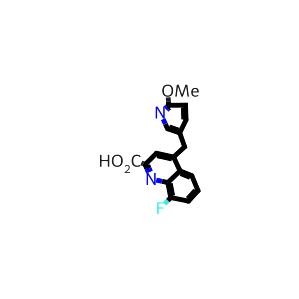 COc1ccc(Cc2cc(C(=O)O)nc3c(F)cccc23)cn1